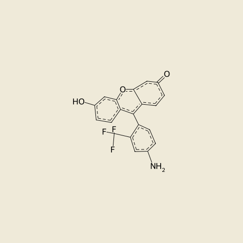 Nc1ccc(-c2c3ccc(=O)cc-3oc3cc(O)ccc23)c(C(F)(F)F)c1